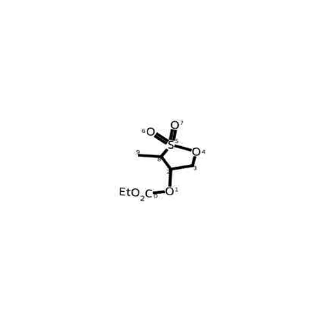 CCOC(=O)OC1COS(=O)(=O)C1C